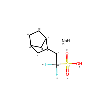 O=S(=O)(O)C(F)(F)CC1CC2CCC1C2.[NaH]